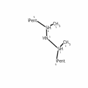 CCCC(C)[SiH](C)N[SiH](C)C(C)CCC